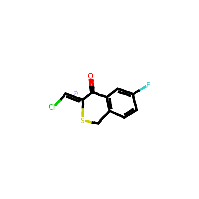 O=C1/C(=C/Cl)SCc2ccc(F)cc21